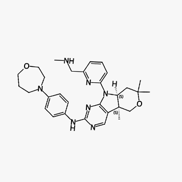 CNCc1cccc(N2c3nc(Nc4ccc(N5CCCOCC5)cc4)ncc3[C@]3(C)COC(C)(C)C[C@H]23)n1